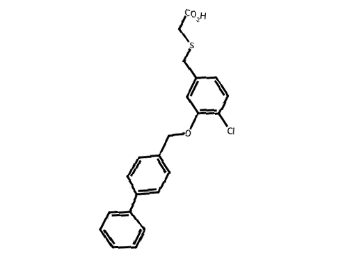 O=C(O)CSCc1ccc(Cl)c(OCc2ccc(-c3ccccc3)cc2)c1